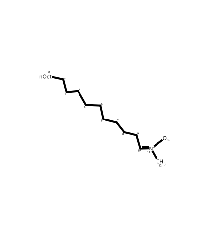 CCCCCCCCCCCCCCCCCC=[N+](C)[O-]